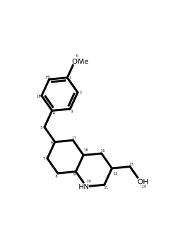 COc1ccc(CC2CCC3NCC(CO)CC3C2)cc1